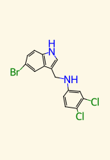 Clc1ccc(NCc2c[nH]c3ccc(Br)cc23)cc1Cl